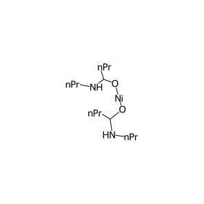 CCCNC(CCC)[O][Ni][O]C(CCC)NCCC